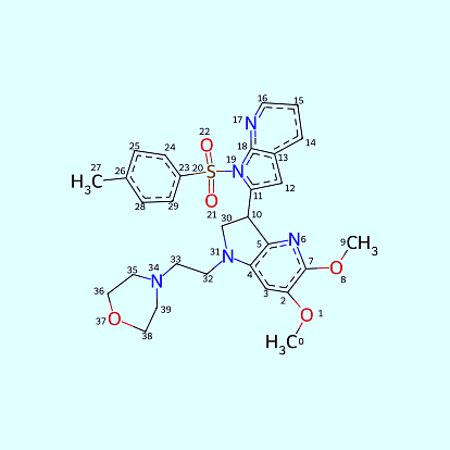 COc1cc2c(nc1OC)C(c1cc3cccnc3n1S(=O)(=O)c1ccc(C)cc1)CN2CCN1CCOCC1